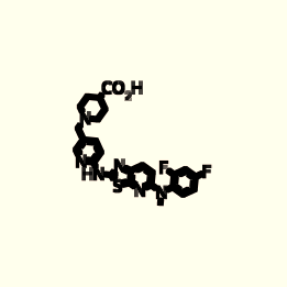 CN(c1ccc2nc(Nc3ccc(CN4CCC(C(=O)O)CC4)cn3)sc2n1)c1ccc(F)cc1F